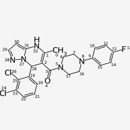 CC1=C(C(=O)N2CCN(c3ccc(F)cc3)CC2)C(c2cccc(Cl)c2Cl)n2nccc2N1